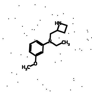 CCN(CC1CCN1)c1cccc(OC)c1